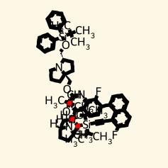 CC(C)[Si](C#Cc1c(F)ccc2cccc(-c3ccc4c(N5C[C@H]6CC[C@@H](C5)N6C(=O)OC(C)(C)C)nc(OC[C@@]56CCCN5[C@H](CO[Si](c5ccccc5)(c5ccccc5)C(C)(C)C)CC6)nc4c3F)c12)(C(C)C)C(C)C